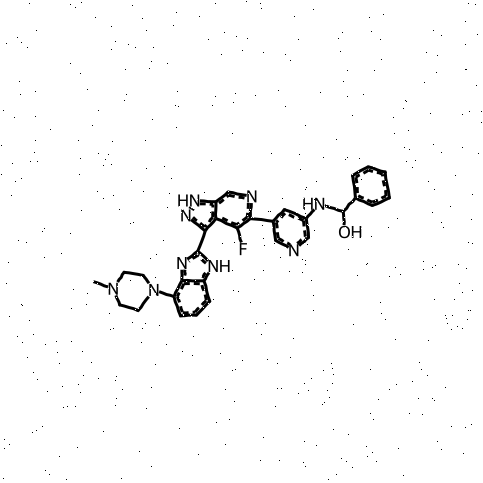 CN1CCN(c2cccc3[nH]c(-c4n[nH]c5cnc(-c6cncc(NC(O)c7ccccc7)c6)c(F)c45)nc23)CC1